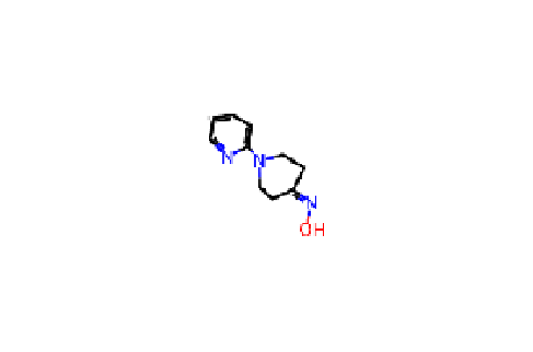 ON=C1CCN(c2cc[c]cn2)CC1